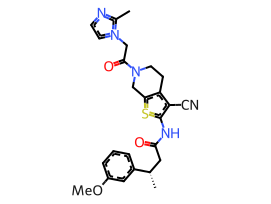 COc1cccc([C@@H](C)CC(=O)Nc2sc3c(c2C#N)CCN(C(=O)Cn2ccnc2C)C3)c1